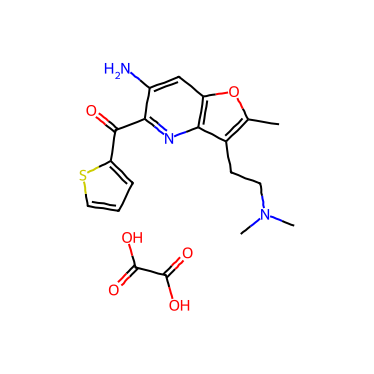 Cc1oc2cc(N)c(C(=O)c3cccs3)nc2c1CCN(C)C.O=C(O)C(=O)O